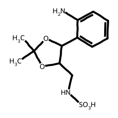 CC1(C)OC(CNS(=O)(=O)O)C(c2ccccc2N)O1